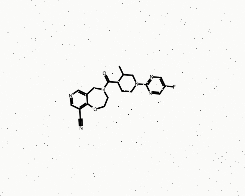 CC1CN(c2ncc(F)cn2)CCC1C(=O)N1CCOc2c(C#N)cncc2C1